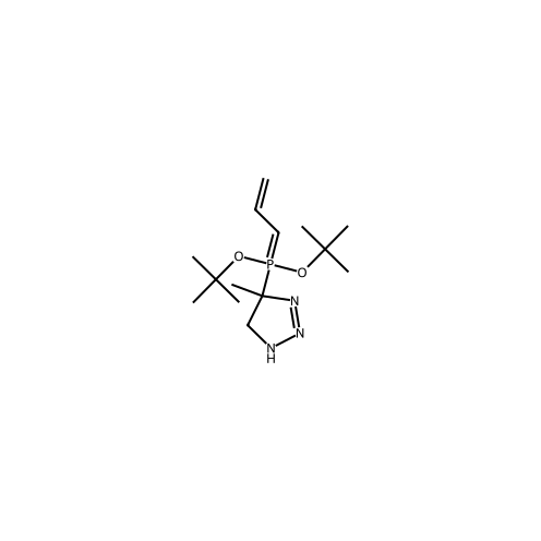 C=CC=P(OC(C)(C)C)(OC(C)(C)C)C1(C)CNN=N1